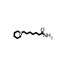 NC(=O)CCCCCCN1CCCCC1